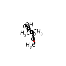 CCCCOCCOc1cc(C)c(-c2ccc(C(=O)O)cc2)cc1C